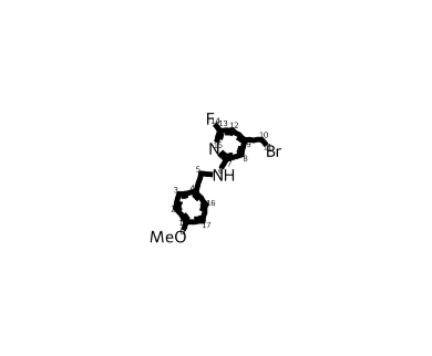 COc1ccc(CNc2cc(CBr)cc(F)n2)cc1